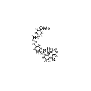 COc1ccc(CN(C)CCCc2ccc(NC(=O)c3cccc4c(=O)c5ccccc5[nH]c34)cc2)cc1